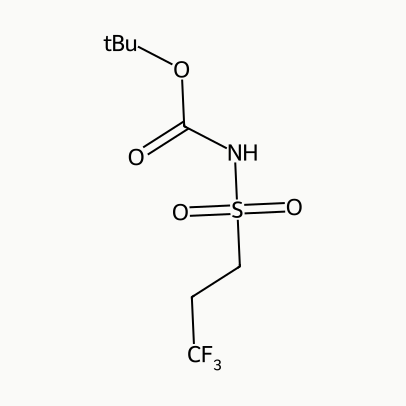 CC(C)(C)OC(=O)NS(=O)(=O)CCC(F)(F)F